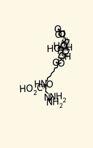 C[C@]12CC[C@H](OC(=O)CCCCCCC(=O)N[C@@H](CCCN=C(N)N)C(=O)O)C[C@H]1CC[C@@H]1[C@@H]2[C@H](O)C[C@]2(C)[C@@H](c3ccc(=O)oc3)CC[C@]12O